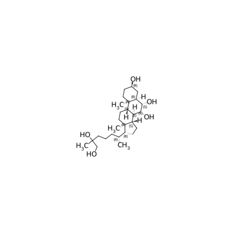 C[C@H](CCCC(C)(O)CO)[C@H]1CC[C@H]2[C@@H]3[C@@H](O)[C@@H](O)[C@@H]4C[C@H](O)CC[C@]4(C)[C@H]3CC[C@]12C